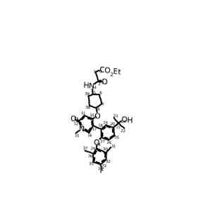 CCOC(=O)CC(=O)NC1CCC(Oc2cc(=O)n(C)cc2-c2cc(C(C)(C)O)ccc2Oc2c(C)cc(F)cc2C)CC1